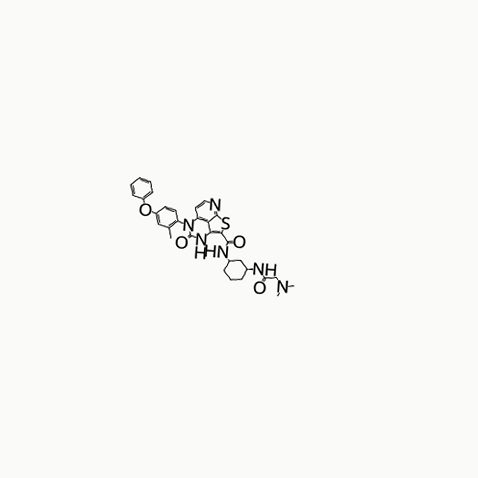 Cc1cc(Oc2ccccc2)ccc1N1C(=O)Nc2c(C(=O)N[C@H]3CCC[C@H](NC(=O)CN(C)C)C3)sc3nccc1c23